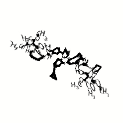 COC(=O)N[C@H](C(=O)N1CCC[C@H]1c1nc2cc(C3CC[C@@H](c4ccc5[nH]c([C@@H]6CCCN6C(=O)[C@@H](NC(=O)OC)[C@@H](C)OC)nc5c4)N3c3ccc(C4CC4)cc3F)ccc2[nH]1)[C@@H](C)OC